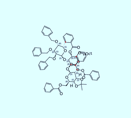 CCCCCCCCO[C@@H]1O[C@H](COC(=O)c2ccccc2)[C@@H](O[C@@H]2O[C@H](COC(=O)c3ccccc3)[C@@H]3OC(C)(C)O[C@@H]3[C@H]2OC(=O)c2ccccc2)[C@H](O[C@@H]2O[C@@H](C)[C@@H](OCc3ccccc3)[C@@H](OCc3ccccc3)[C@@H]2OCc2ccccc2)[C@H]1OC(=O)c1ccccc1